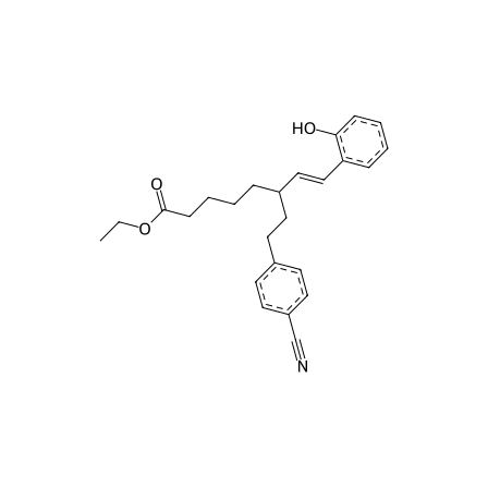 CCOC(=O)CCCCC(C=Cc1ccccc1O)CCc1ccc(C#N)cc1